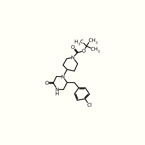 CC(C)(C)OC(=O)N1CCC(N2CC(=O)NCC2Cc2ccc(Cl)cc2)CC1